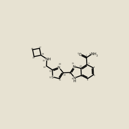 NC(=O)c1cccc2[nH]c(-c3csc(CNC4CCC4)n3)nc12